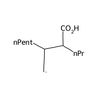 [CH2]C(CCCCC)C(CCC)C(=O)O